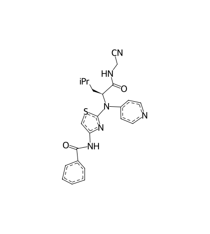 CC(C)C[C@@H](C(=O)NCC#N)N(c1ccncc1)c1nc(NC(=O)c2ccccc2)cs1